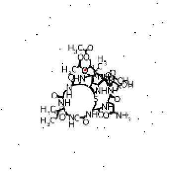 CC[C@H](C)[C@@H]1NC(=O)CNC(=O)C2Cc3c([nH]c4c(OC(C)=O)cccc34)SCC(NC(=O)CNC1=O)C(=O)NC(CC(N)=O)C(=O)N1C[C@H](O)C[C@H]1C(=O)N[C@@H]([C@@H](C)[C@H](COC(C)=O)OC(C)=O)C(=O)N2